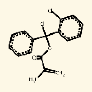 C=C(C)C(=O)OC(Cl)(c1ccccc1)c1ccccc1Cl